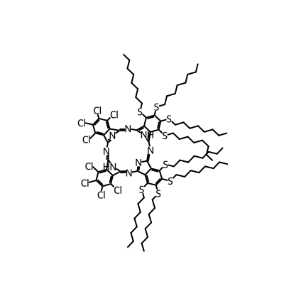 CCCCCCCCSc1c(SCCCCCCCC)c(SCCCCCCCC)c2c(c1SCCCCCCCC)-c1nc-2nc2[nH]c(nc3nc(nc4[nH]c(n1)c1c(Cl)c(Cl)c(Cl)c(Cl)c41)-c1c(Cl)c(Cl)c(Cl)c(Cl)c1-3)c1c(SCCCCCCCC)c(SCCCCCCCC)c(SCCCCCCCC)c(SCCCCCCCC)c21